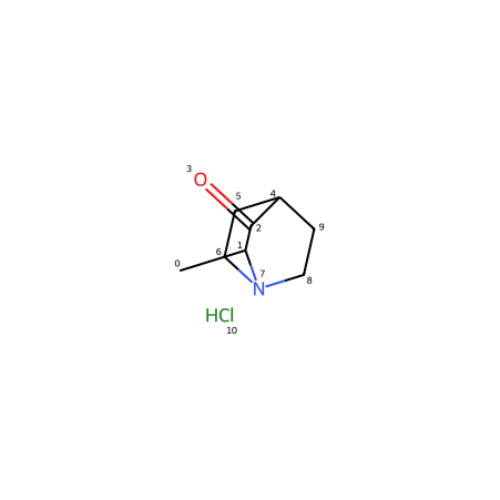 CC1C(=O)C2CCN1CC2.Cl